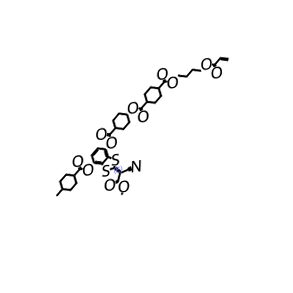 C=CC(=O)OCCCCOC(=O)C1CCC(C(=O)OC2CCC(C(=O)Oc3ccc(OC(=O)C4CCC(C)CC4)c4c3S/C(=C(\C#N)C(=O)OC)S4)CC2)CC1